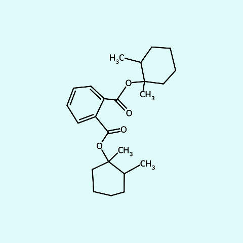 CC1CCCCC1(C)OC(=O)c1ccccc1C(=O)OC1(C)CCCCC1C